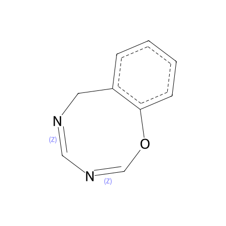 C1=N\C=N/Cc2ccccc2O/1